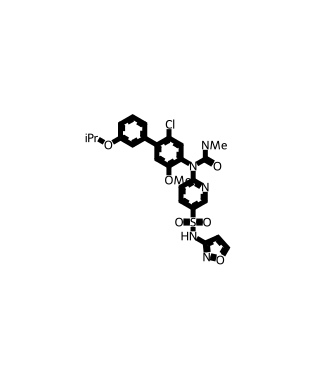 CNC(=O)N(c1ccc(S(=O)(=O)Nc2ccon2)cn1)c1cc(Cl)c(-c2cccc(OC(C)C)c2)cc1OC